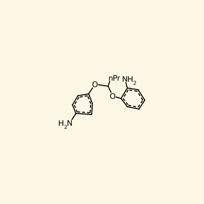 CCCC(Oc1ccc(N)cc1)Oc1ccccc1N